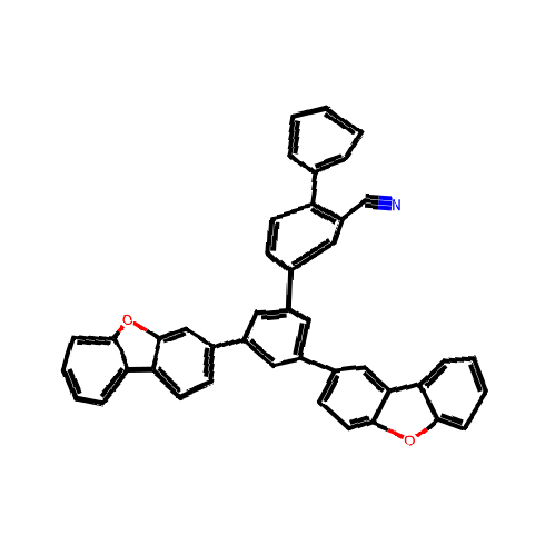 N#Cc1cc(-c2cc(-c3ccc4c(c3)oc3ccccc34)cc(-c3ccc4oc5ccccc5c4c3)c2)ccc1-c1ccccc1